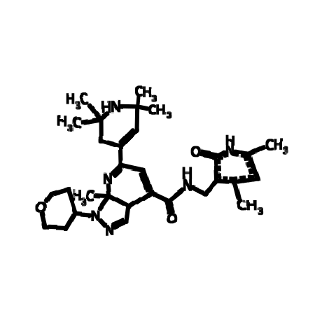 Cc1cc(C)c(CNC(=O)C2=CC(C3=CC(C)(C)NC(C)(C)C3)=NC3(C)C2C=NN3C2CCOCC2)c(=O)[nH]1